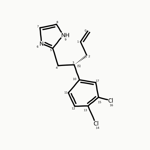 C=CC[C@@H](Cc1ncc[nH]1)c1ccc(Cl)c(Cl)c1